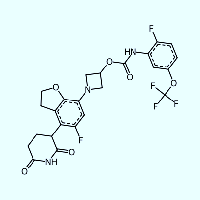 O=C1CCC(c2c(F)cc(N3CC(OC(=O)Nc4cc(OC(F)(F)F)ccc4F)C3)c3c2CCO3)C(=O)N1